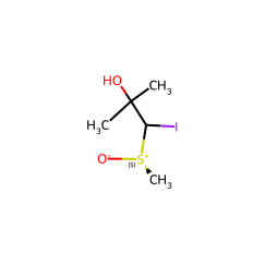 C[S@@+]([O-])C(I)C(C)(C)O